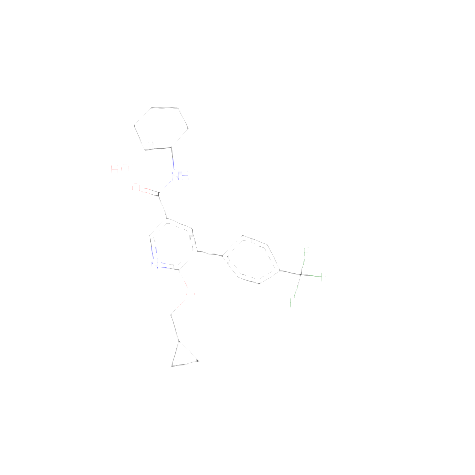 O=C(NC1CCCC[C@H]1O)c1cnc(OCC2CC2)c(-c2ccc(C(F)(F)F)cc2)c1